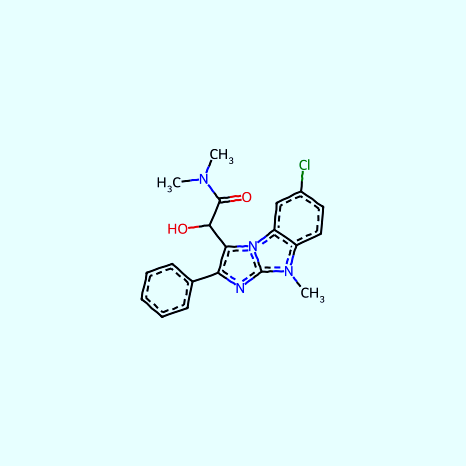 CN(C)C(=O)C(O)c1c(-c2ccccc2)nc2n(C)c3ccc(Cl)cc3n12